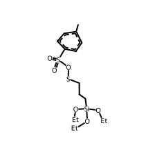 CCO[Si](CCCSOS(=O)(=O)c1ccc(C)cc1)(OCC)OCC